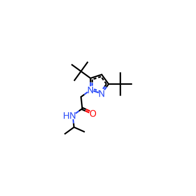 CC(C)NC(=O)Cn1nc(C(C)(C)C)cc1C(C)(C)C